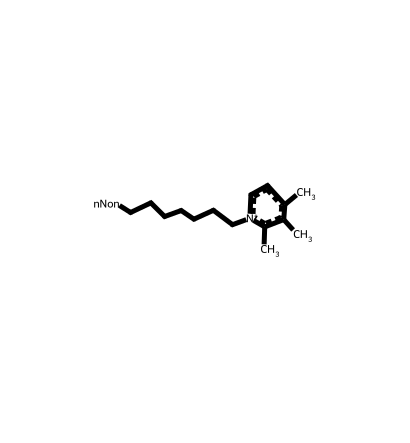 CCCCCCCCCCCCCCCC[n+]1ccc(C)c(C)c1C